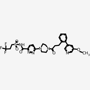 CCOc1cncc(-c2ccccc2CCC(=O)N2CCN(c3ccc(C(=O)NS(=O)(=O)CCC(F)(F)F)nn3)CC2)c1